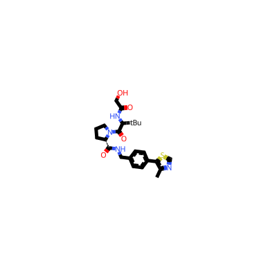 Cc1ncsc1-c1ccc(CNC(=O)[C@@H]2CCCN2C(=O)C(NC(=O)CO)C(C)(C)C)cc1